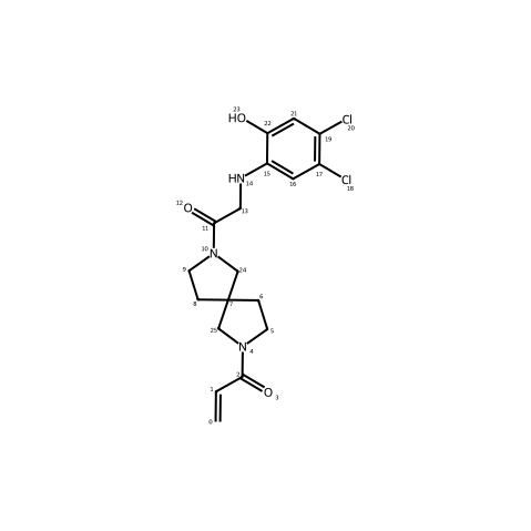 C=CC(=O)N1CCC2(CCN(C(=O)CNc3cc(Cl)c(Cl)cc3O)C2)C1